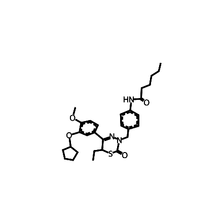 CCCCCC(=O)Nc1ccc(CN2N=C(c3ccc(OC)c(OC4CCCC4)c3)C(CC)SC2=O)cc1